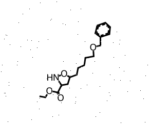 CCOC(=O)C1CC(CCCCCOCc2ccccc2)ON1